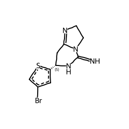 N=C1N[C@H](c2cc(Br)cs2)CC2=NCCN12